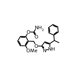 COc1cccc(OC(N)=O)c1COc1cc(C(C)c2ccccc2)[nH]n1